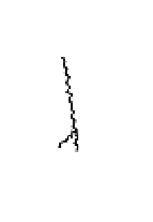 CCCCCCCCCCCCCCCCCCN(CCCC)CCCC